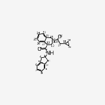 O=C(NC1Cc2ccccc2C1)C1CN(C(=O)CC2CC2)Cc2ccccc21